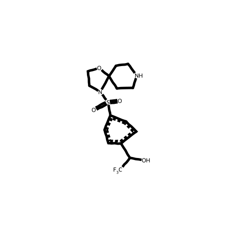 O=S(=O)(c1ccc(C(O)C(F)(F)F)cc1)N1CCOC12CCNCC2